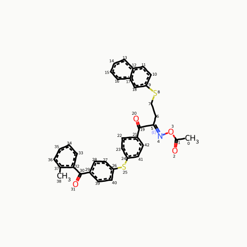 CC(=O)O/N=C(\CCSc1ccc2ccccc2c1)C(=O)c1ccc(Sc2ccc(C(=O)c3ccccc3C)cc2)cc1